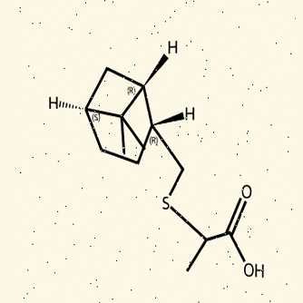 CC(SC[C@@H]1CC[C@H]2C[C@H]1C2(C)C)C(=O)O